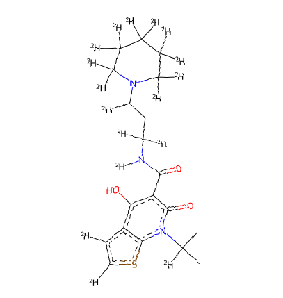 [2H]c1sc2c(c1[2H])c(O)c(C(=O)N([2H])C([2H])([2H])CC([2H])N1C([2H])([2H])C([2H])([2H])C([2H])([2H])C([2H])([2H])C1([2H])[2H])c(=O)n2C([2H])(C)C